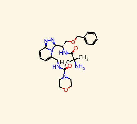 CC(C)(N)C(=O)N[C@H](COCc1ccccc1)c1nnc2cccc(CNC(=O)N3CCOCC3)n12